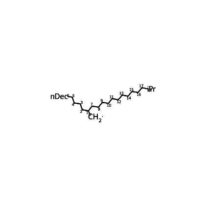 [CH2]C(CCCCCCCCCCCCCC)CCCCCCCCCCCC(C)C